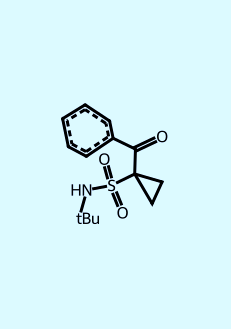 CC(C)(C)NS(=O)(=O)C1(C(=O)c2ccccc2)CC1